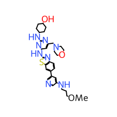 COCCCNc1cncc(-c2ccc3nc(Nc4cc(CN5CCOCC5)nc(N[C@H]5CC[C@H](O)CC5)n4)sc3c2)c1